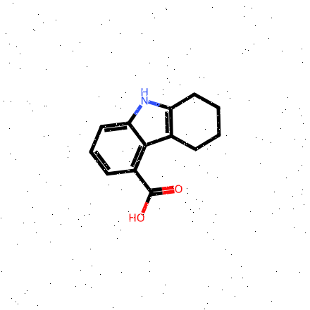 O=C(O)c1cccc2[nH]c3c(c12)CCCC3